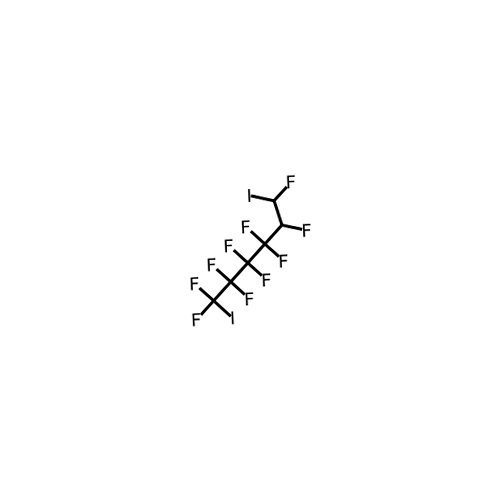 FC(I)C(F)C(F)(F)C(F)(F)C(F)(F)C(F)(F)I